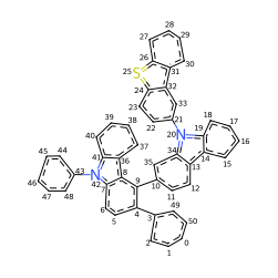 c1ccc(-c2ccc3c(c2-c2ccc4c5ccccc5n(-c5ccc6sc7ccccc7c6c5)c4c2)c2ccccc2n3-c2ccccc2)cc1